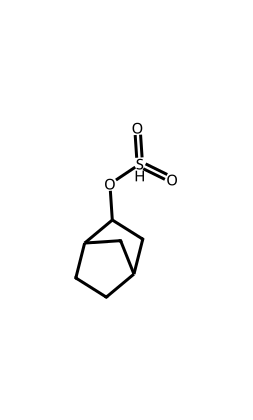 O=[SH](=O)OC1CC2CCC1C2